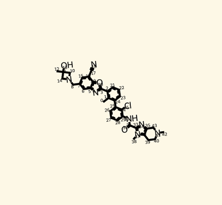 Cc1c(-c2nc3cc(CN4CC(C)(O)C4)cc(C#N)c3o2)cccc1-c1cccc(NC(=O)c2nc3c(n2C)CCN(C)C3)c1Cl